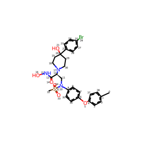 Cc1ccc(Oc2ccc(N(C[C@@H](C(=O)NO)N3CCC(O)(c4ccc(Br)cc4)CC3)S(C)(=O)=O)cc2)cc1